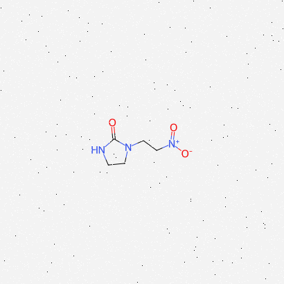 O=C1NCCN1CC[N+](=O)[O-]